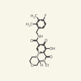 CCN1C(=O)c2c(O)c(=O)c(C(=O)NCc3ccc(F)c(C)c3C)cn2N2CCOC[C@@H]12